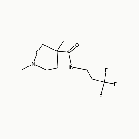 CN1CCC(C)(C(=O)NCCC(F)(F)F)CC1